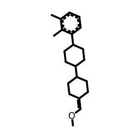 COC=C1CCC(C2CCC(c3cccc(C)c3C)CC2)CC1